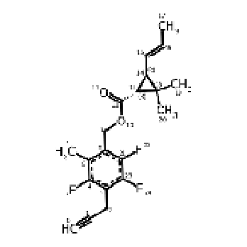 C#CCc1c(F)c(C)c(COC(=O)[C@@H]2[C@@H](C=CC)C2(C)C)c(F)c1F